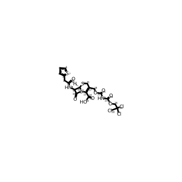 O=C(Cc1cccs1)NC1C(=O)N2C(C(=O)O)=C(COC(=O)NC(=O)OCC(Cl)(Cl)Cl)CS[C@H]12